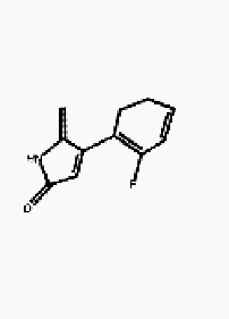 C=C1NC(=O)C=C1C1=C(F)C=CCC1